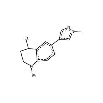 CCC1CCN(C(C)C)c2ccc(-c3cnn(C)c3)cc21